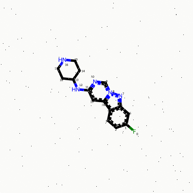 Fc1ccc2c(c1)nn1cnc(NC3CCNCC3)cc21